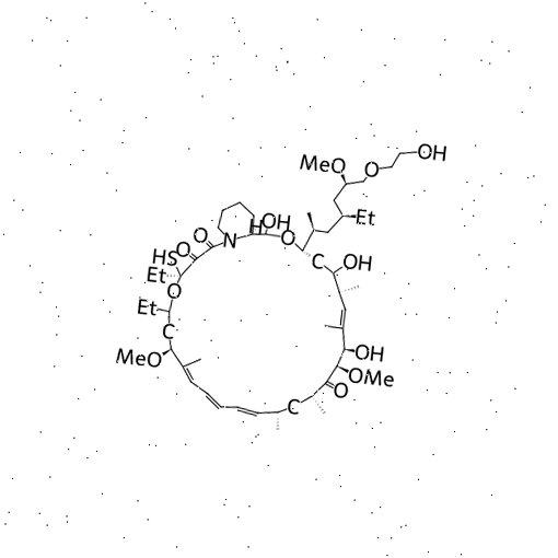 CCC1C[C@H](OC)/C(C)=C/C=C/C=C/[C@@H](C)C[C@@H](C)C(=O)[C@H](OC)[C@H](O)/C(C)=C/[C@@H](C)C(O)C[C@@H]([C@@H](C)C[C@H](CC)C[C@H](COCCO)OC)OC(O)[C@@H]2CCCCN2C(=O)C(=O)[C@@](S)(CC)O1